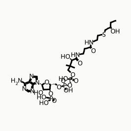 CCC(O)CSCCNC(=O)CCNC(=O)[C@H](O)C(C)(C)COP(=O)(O)OP(=O)(O)OC[C@H]1O[C@@H](n2cnc3c(N)ncnc32)[C@H](O)[C@@H]1OP(=O)(O)O